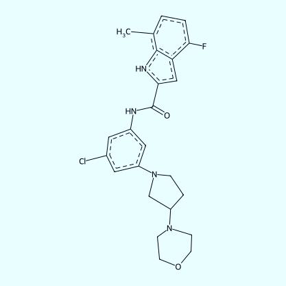 Cc1ccc(F)c2cc(C(=O)Nc3cc(Cl)cc(N4CCC(N5CCOCC5)C4)c3)[nH]c12